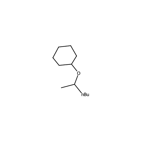 CCCCC(C)OC1CCCCC1